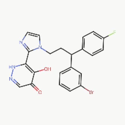 O=c1cn[nH]c(-c2nccn2CCC(c2ccc(F)cc2)c2cccc(Br)c2)c1O